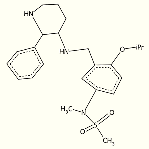 CC(C)Oc1ccc(N(C)S(C)(=O)=O)cc1CNC1CCCNC1c1ccccc1